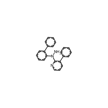 NN(c1ccccc1-c1ccccc1)c1ncccc1-c1ccccc1